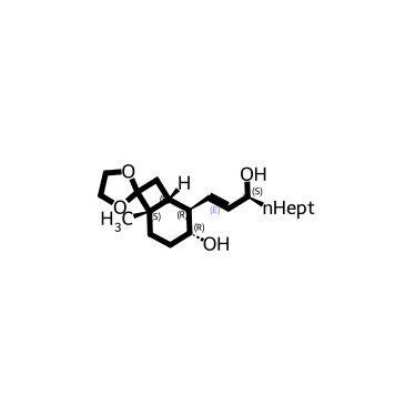 CCCCCCC[C@H](O)/C=C/[C@H]1[C@H](O)CC[C@@]2(C)[C@@H]1CC21OCCO1